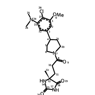 COc1cc(C2CCN(C(=O)CC[C@@]3(C)NC(=O)NC3=O)CC2)cc(N(C)C)c1Cl